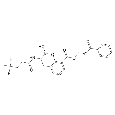 CC(F)(F)CCC(=O)NC1Cc2cccc(C(=O)OCOC(=O)c3ccccc3)c2OB1O